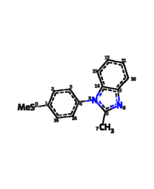 CSc1ccc(-n2c(C)nc3ccccc32)cc1